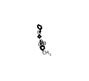 Cc1ccc(S(=O)(=O)OC[C@H]2C[C@@H](OCc3ccccc3)C2)cc1